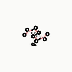 CC(C)(c1ccccc1Oc1ccccc1C#COc1ccccc1Oc1ccccc1)c1ccccc1Oc1ccccc1C#COc1ccccc1Oc1ccccc1.c1cc2cc-2c1